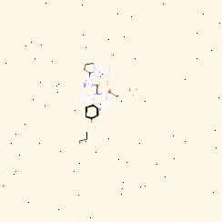 CCN(C(=O)C(NC(=O)CSC)Nc1ccc(OCCCC(=O)O)cc1)C1CCCN1